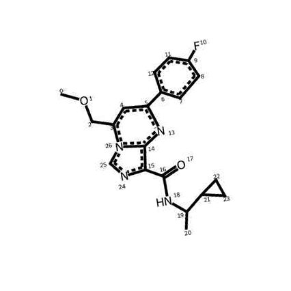 COCc1cc(-c2ccc(F)cc2)nc2c(C(=O)NC(C)C3CC3)ncn12